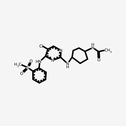 CC(=O)NC1CCC(Nc2ncc(Cl)c(Nc3ccccc3S(C)(=O)=O)n2)CC1